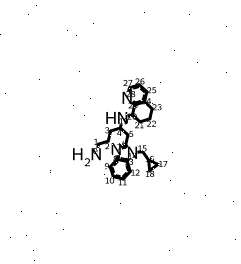 NCCCC(Cc1nc2ccccc2n1CC1CC1)NC1CCCc2cccnc21